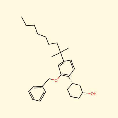 CCCCCCCC(C)(C)c1ccc([C@H]2CCC[C@@H](O)C2)c(OCc2ccccc2)c1